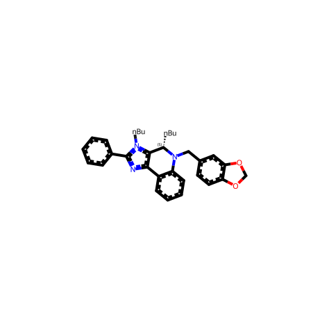 CCCC[C@H]1c2c(nc(-c3ccccc3)n2CCCC)-c2ccccc2N1Cc1ccc2c(c1)OCO2